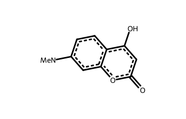 CNc1ccc2c(O)cc(=O)oc2c1